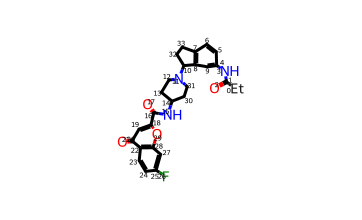 CCC(=O)Nc1ccc2c(c1)C(N1CCC(NC(=O)c3cc(=O)c4ccc(F)cc4o3)CC1)CC2